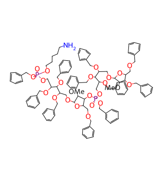 COC1C(OCC(OCc2ccccc2)C(OCc2ccccc2)C(COP(=O)(OCc2ccccc2)OC2C(COCc3ccccc3)OC(OCC(OCc3ccccc3)C(OCc3ccccc3)C(COP(=O)(OCCCCCN)OCc3ccccc3)OCc3ccccc3)C2OC)OCc2ccccc2)OC(COCc2ccccc2)C1OCc1ccccc1